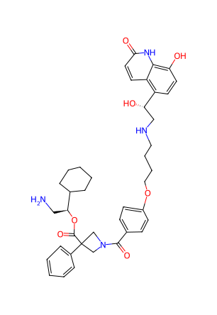 NC[C@H](OC(=O)C1(c2ccccc2)CN(C(=O)c2ccc(OCCCCNC[C@H](O)c3ccc(O)c4[nH]c(=O)ccc34)cc2)C1)C1CCCCC1